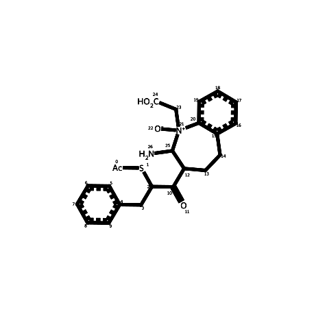 CC(=O)SC(Cc1ccccc1)C(=O)C1CCc2ccccc2[N+]([O-])(CC(=O)O)C1N